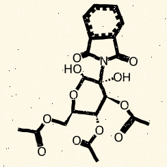 CC(=O)OC[C@H]1O[C@H](O)[C@@](O)(N2C(=O)c3ccccc3C2=O)[C@@H](OC(C)=O)[C@@H]1OC(C)=O